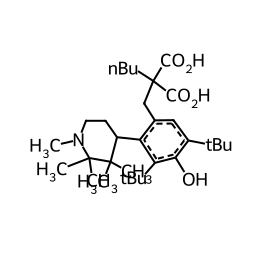 CCCCC(Cc1cc(C(C)(C)C)c(O)c(C(C)(C)C)c1C1CCN(C)C(C)(C)C1(C)C)(C(=O)O)C(=O)O